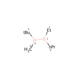 CCCB(CC)B(C)C(C)(C)C